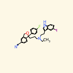 CCN(CCCC1(c2ccc(F)cc2)OCc2cc(C#N)ccc21)CCc1c[nH]c2ccc(I)cc12